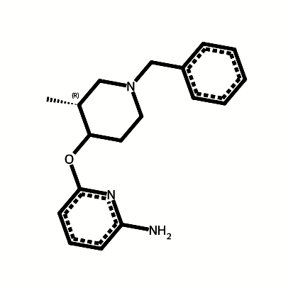 C[C@@H]1CN(Cc2ccccc2)CCC1Oc1cccc(N)n1